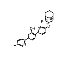 Cc1ccc(-c2ccc(-c3ccc(O[C@H]4CC5CCCC(N5)[C@H]4F)nn3)c(O)c2)nn1